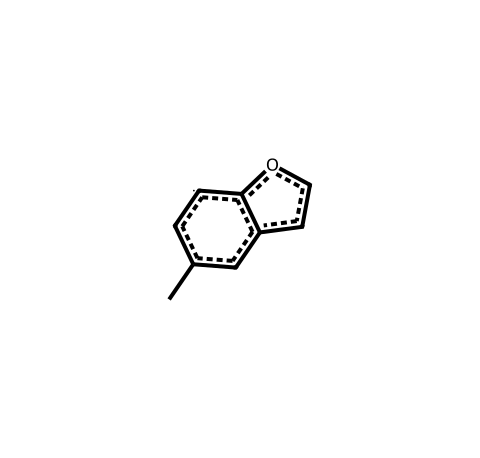 Cc1c[c]c2occc2c1